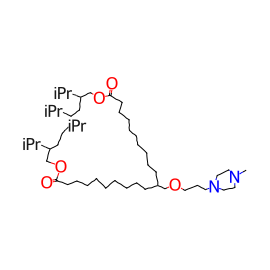 CC(C)CCC(COC(=O)CCCCCCCCCC(CCCCCCCCCC(=O)OCC(CCC(C)C)C(C)C)COCCCN1CCN(C)CC1)C(C)C